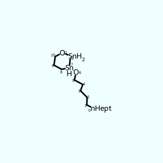 CCCCCCCCCCCC[O][SnH]1[CH2]CC[O][SnH2]1